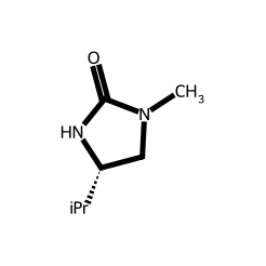 CC(C)[C@H]1CN(C)C(=O)N1